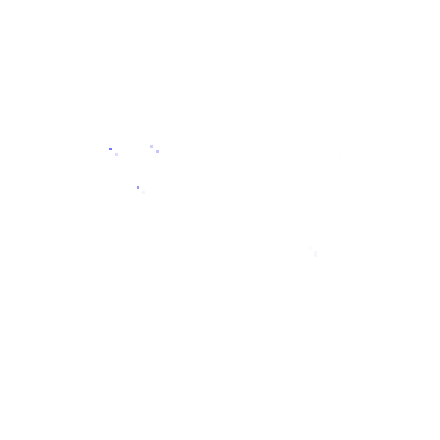 CC1(C)c2ccccc2-c2cc3c(-c4ccc(-c5nc(-c6ccccc6)nc(-c6ccccc6)n5)c5ccccc45)cc(-c4ccc5ccccc5c4)nc3cc21